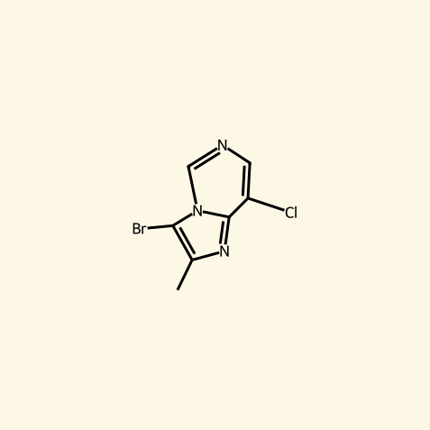 Cc1nc2c(Cl)cncn2c1Br